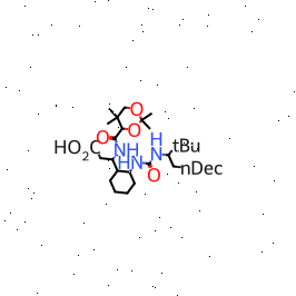 CCCCCCCCCCCC(NC(=O)NC1CCCCC1C(CC(=O)O)NC(=O)C1OC(C)(C)OCC1(C)C)C(C)(C)C